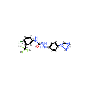 O=C(NNc1ccc(-n2cnnn2)cc1)Nc1ccc(Cl)c(C(F)(F)F)c1